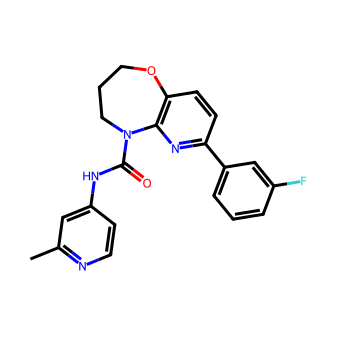 Cc1cc(NC(=O)N2CCCOc3ccc(-c4cccc(F)c4)nc32)ccn1